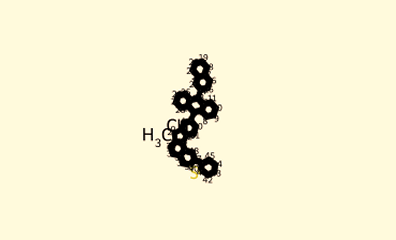 CC1(C)c2cc(-c3c4ccccc4c(-c4ccc5ccccc5c4)c4ccccc34)ccc2-c2c1ccc1cc3sc4ccccc4c3cc21